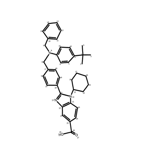 CC(C)(C)c1ccc(N(Cc2ccccc2)Cc2ccc(-c3nc4cc(C(=O)O)ccc4n3C3CCCCC3)cc2)cc1